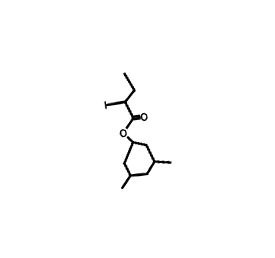 CCC(I)C(=O)OC1CC(C)CC(C)C1